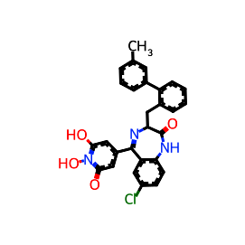 Cc1cccc(-c2ccccc2CC2N=C(c3cc(O)n(O)c(=O)c3)c3cc(Cl)ccc3NC2=O)c1